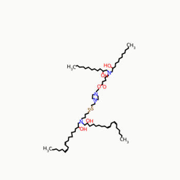 CCCCC/C=C\C/C=C\CCCCCCC(O)CN(CCCCSSCCN1CCN(CCOC(=O)CCCCN(CC(O)CCCCCCCCCC)CC(O)CCCCCCCCCC)CC1)CC(O)CCCCCC/C=C\C/C=C\CCCCC